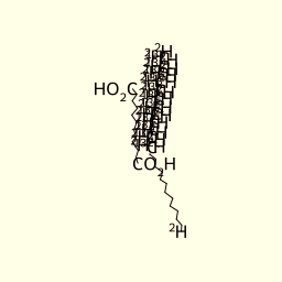 O=[13C](O)CCCCCCCCCC[13C](=O)O.[2H]CCCCCCCCCCCC[13C]([2H])([2H])[13C]([2H])([2H])[13C]([2H])([2H])[13C]([2H])([2H])[13C]([2H])([2H])[13C]([2H])([2H])[13C]([2H])([2H])[13C]([2H])([2H])[13C]([2H])([2H])[13C]([2H])([2H])[13C]([2H])([2H])[13C]([2H])([2H])[2H]